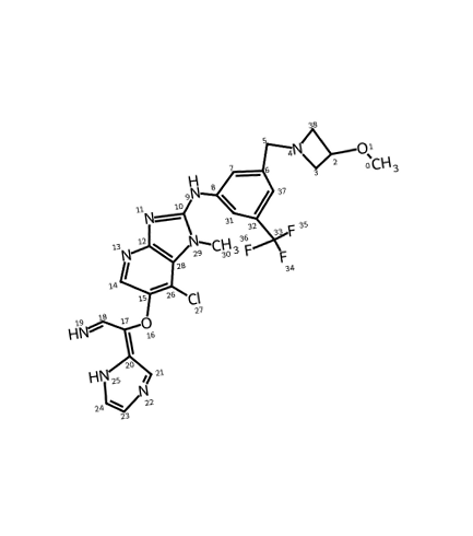 COC1CN(Cc2cc(Nc3nc4ncc(O/C(C=N)=C5\C=NC=CN5)c(Cl)c4n3C)cc(C(F)(F)F)c2)C1